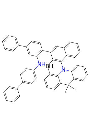 CC1(C)c2ccccc2N2c3c(cccc31)Bc1c(-c3ccc(-c4ccccc4)cc3Nc3ccc(-c4ccccc4)cc3)cc3ccccc3c12